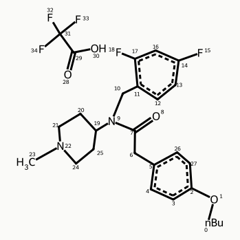 CCCCOc1ccc(CC(=O)N(Cc2ccc(F)cc2F)C2CCN(C)CC2)cc1.O=C(O)C(F)(F)F